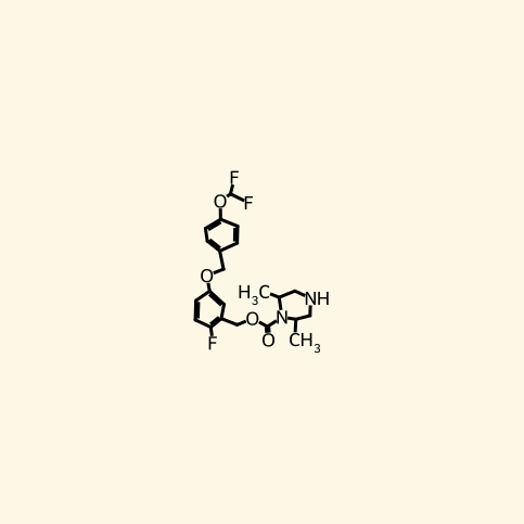 CC1CNCC(C)N1C(=O)OCc1cc(OCc2ccc(OC(F)F)cc2)ccc1F